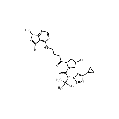 Cn1nc(Br)c2c(NCCNC(=O)C3CC(O)CN3C(=O)[C@@H](n3cc(C4CC4)nn3)C(C)(C)C)ncnc21